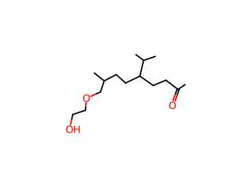 CC(=O)CCC(CCC(C)COCCO)C(C)C